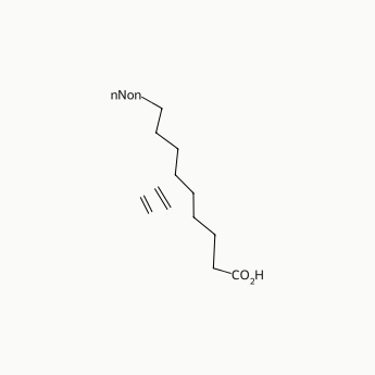 C=C.C=C.CCCCCCCCCCCCCCCCCC(=O)O